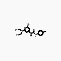 Cc1ccc(NC(=O)Nc2cc(Br)nc(N(CC(C)C)CC(C)C)c2)cc1